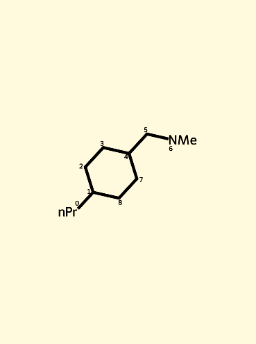 CCCC1CCC(CNC)CC1